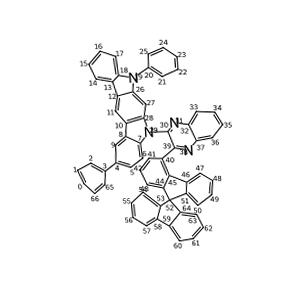 c1ccc(-c2ccc3c(c2)c2cc4c5ccccc5n(-c5ccccc5)c4cc2n3-c2nc3ccccc3nc2-c2cccc3c2-c2ccccc2C32c3ccccc3-c3ccccc32)cc1